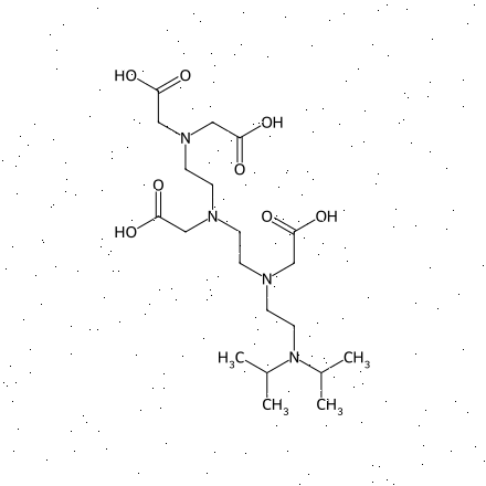 CC(C)N(CCN(CCN(CCN(CC(=O)O)CC(=O)O)CC(=O)O)CC(=O)O)C(C)C